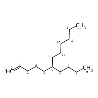 [CH]=CCCCC(CCCC)CCCCCC